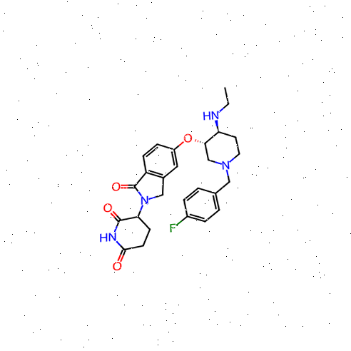 CCN[C@H]1CCN(Cc2ccc(F)cc2)C[C@@H]1Oc1ccc2c(c1)CN(C1CCC(=O)NC1=O)C2=O